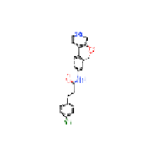 O=C(CCc1ccc(Cl)cc1)Nc1ccc2c(c1)COc1cnccc1-2